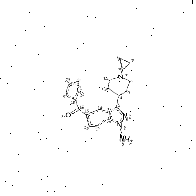 Nn1nc(C2CCN(C3CC3)CC2)c2cc(C(=O)c3ccco3)ccc21